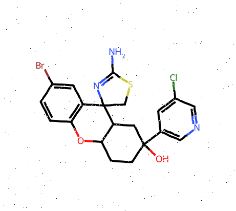 NC1=NC2(CS1)c1cc(Br)ccc1OC1CCC(O)(c3cncc(Cl)c3)CC12